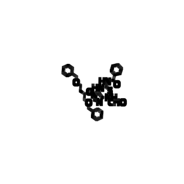 O=CNc1ncn(O[C@H](CCOCc2ccccc2)COCc2ccccc2)c1NC(=S)NC(=O)c1ccccc1